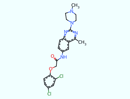 Cc1nc(N2CCN(C)CC2)nc2ccc(NC(=O)COc3ccc(Cl)cc3Cl)cc12